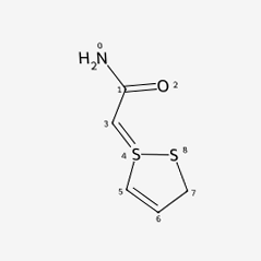 NC(=O)C=S1C=CCS1